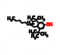 CCCCCCCCc1c(C(C)(C)C)cc(O)cc1C(C)(C)C